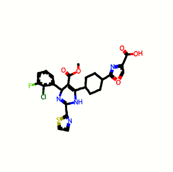 COC(=O)C1=C(C2CCC(c3nc(C(=O)O)co3)CC2)NC(c2nccs2)=NC1c1cccc(F)c1Cl